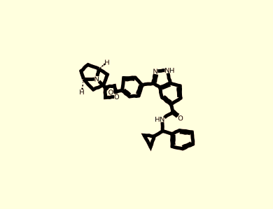 O=C(NC(c1ccccc1)C1CC1)c1ccc2[nH]nc(-c3ccc(O[C@H]4C[C@H]5CC[C@@H](C4)N5C4COC4)cc3)c2c1